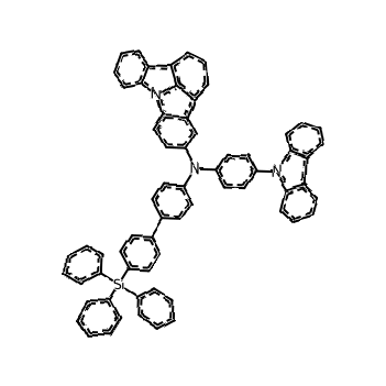 c1ccc([Si](c2ccccc2)(c2ccccc2)c2ccc(-c3ccc(N(c4ccc(-n5c6ccccc6c6ccccc65)cc4)c4ccc5c(c4)c4cccc6c7ccccc7n5c64)cc3)cc2)cc1